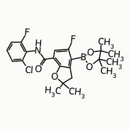 CC1(C)Cc2c(c(C(=O)Nc3c(F)cccc3Cl)cc(F)c2B2OC(C)(C)C(C)(C)O2)O1